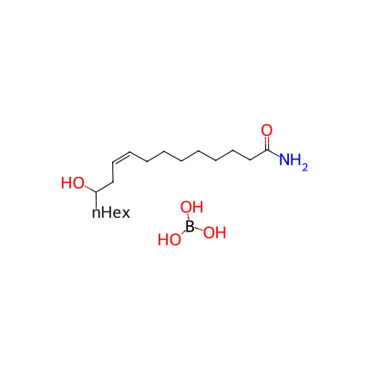 CCCCCCC(O)C/C=C\CCCCCCCC(N)=O.OB(O)O